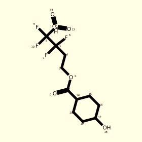 O=C(OCCC(F)(F)C(F)(F)[SH](=O)=O)C1CCC(O)CC1